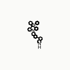 C1=CC2c3c4c(n(-c5ccccc5)c3-c3ccccc3N(C3C=c5cc(C6=C7C=CNCC7=CCC6)ccc5=CC3)C2C=C1)CCC=C4